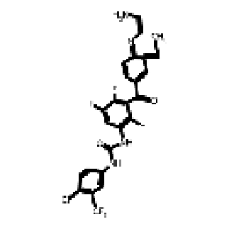 C/C=C1/C=C(C(=O)c2c(F)c(F)cc(NC(=O)Nc3ccc(Cl)c(C(F)(F)F)c3)c2F)C=C/C1=N/C=C\N